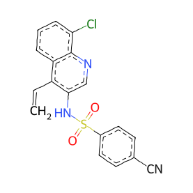 C=Cc1c(NS(=O)(=O)c2ccc(C#N)cc2)cnc2c(Cl)cccc12